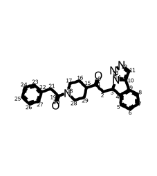 O=C(CC1c2ccccc2-c2cnnn21)C1CCN(C(=O)Cc2ccccc2)CC1